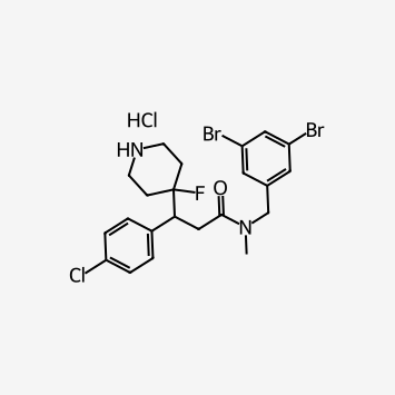 CN(Cc1cc(Br)cc(Br)c1)C(=O)CC(c1ccc(Cl)cc1)C1(F)CCNCC1.Cl